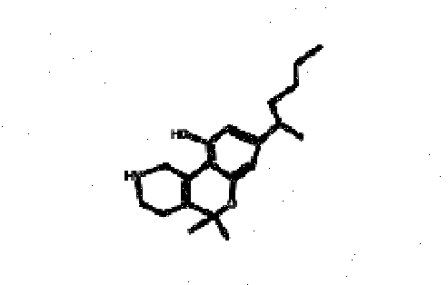 CCCCC(C)c1cc(O)c2c(c1)OC(C)(C)C1=C2CNCC1